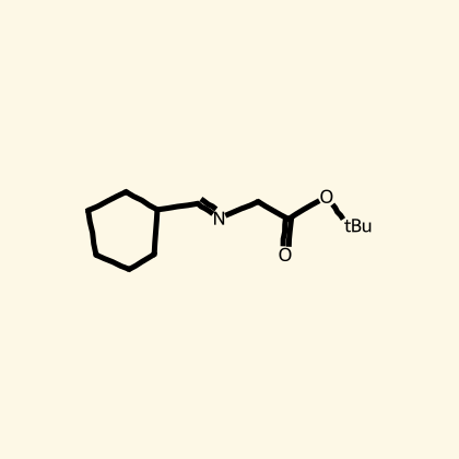 CC(C)(C)OC(=O)C/N=C/C1CCCCC1